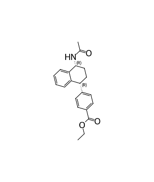 CCOC(=O)c1ccc([C@H]2CC[C@@H](NC(C)=O)c3ccccc32)cc1